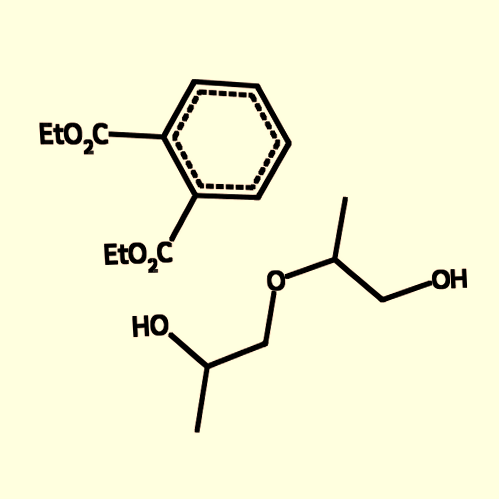 CC(O)COC(C)CO.CCOC(=O)c1ccccc1C(=O)OCC